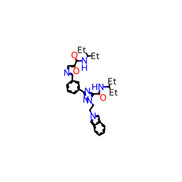 CCC(CC)NC(=O)c1cnc(-c2cccc(-c3nc(C(=O)NC(CC)CC)n(CCn4cc5ccccc5c4)n3)c2)o1